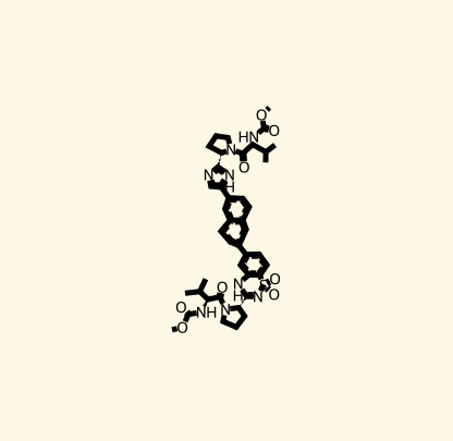 COC(=O)N[C@H](C(=O)N1CCC[C@H]1C1=NS(=O)(=O)c2ccc(-c3ccc4cc(-c5cnc([C@@H]6CCCN6C(=O)[C@@H](NC(=O)OC)C(C)C)[nH]5)ccc4c3)cc2N1)C(C)C